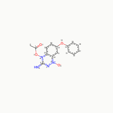 CC(=O)On1c(=N)n[n+]([O-])c2cc(Oc3ccccc3)ccc21